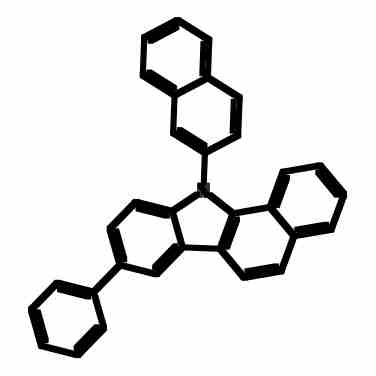 c1ccc(-c2ccc3c(c2)c2ccc4ccccc4c2n3-c2ccc3ccccc3c2)cc1